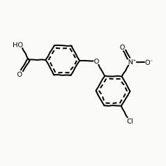 O=C(O)c1ccc(Oc2ccc(Cl)cc2[N+](=O)[O-])cc1